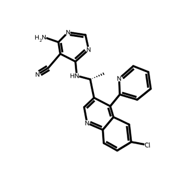 C[C@@H](Nc1ncnc(N)c1C#N)c1cnc2ccc(Cl)cc2c1-c1ccccn1